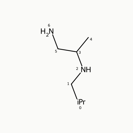 CC(C)CNC(C)CN